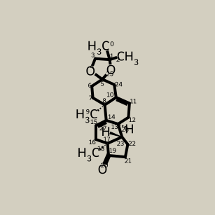 CC1(C)COC2(CC[C@@]3(C)C(=CC[C@@H]4C3=CC[C@]3(C)C(=O)CC[C@@H]43)C2)O1